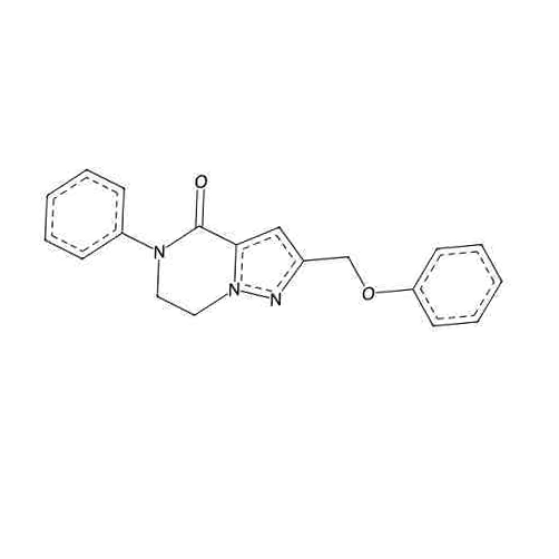 O=C1c2cc(COc3ccccc3)nn2CCN1c1ccccc1